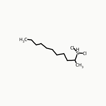 CCCCCCCCCC(C)[SiH](Cl)Cl